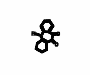 CCn1c2c(c(=O)c(=O)c3ccccc31)CCCC2